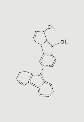 CN1C=CC2c3cc(-n4c5c(c6ccccc64)C=CCC5)ccc3N(C)C21